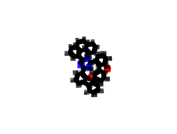 c1ccc2c(c1)ccc1cccc(-c3nc(-c4cccc5c4oc4ccccc45)nc(-c4cccc5oc6ccccc6c45)n3)c12